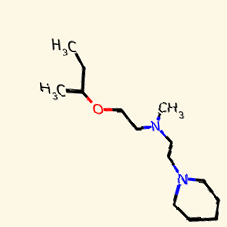 CCC(C)OCCN(C)CCN1CCCCC1